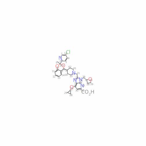 CC1(c2ccc(Cl)cn2)Oc2ccccc2C(C2CCN(Cc3nc4c(OC5CC5)cc(C(=O)O)nc4n3C[C@@H]3CCO3)CC2)O1